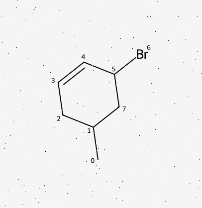 CC1CC=CC(Br)C1